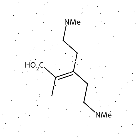 CNCCC(CCNC)=C(C)C(=O)O